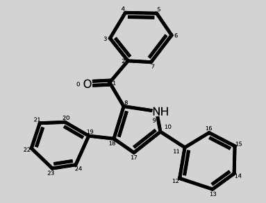 O=C(c1ccccc1)c1[nH]c(-c2ccccc2)cc1-c1ccccc1